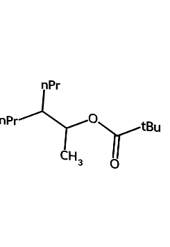 CCCC(CCC)C(C)OC(=O)C(C)(C)C